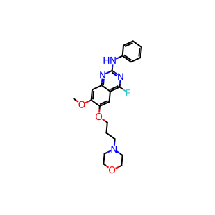 COc1cc2nc(Nc3ccccc3)nc(F)c2cc1OCCCN1CCOCC1